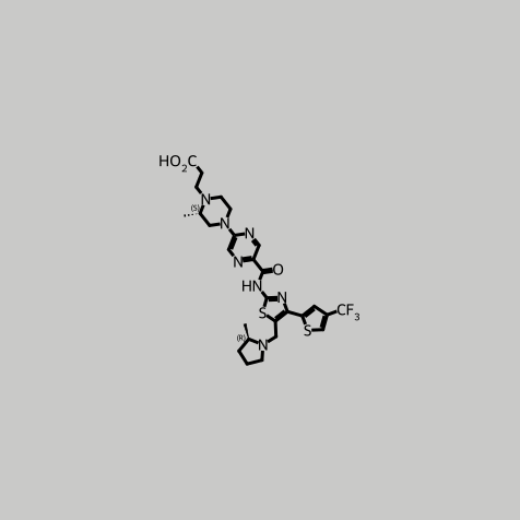 C[C@@H]1CCCN1Cc1sc(NC(=O)c2cnc(N3CCN(CCC(=O)O)[C@@H](C)C3)cn2)nc1-c1cc(C(F)(F)F)cs1